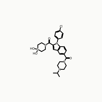 CC(C)N1CCN(C(=O)c2ccc3c(c2)cc(C(=O)N2CCS(O)(O)CC2)n3-c2ccc(Cl)cc2)CC1